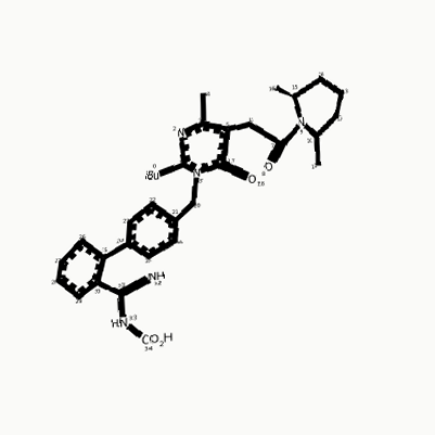 CCC(C)c1nc(C)c(CC(=O)N2C(C)CCC[C@@H]2C)c(=O)n1Cc1ccc(-c2ccccc2C(=N)NC(=O)O)cc1